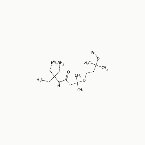 CC(C)OC(C)(C)CCOC(C)(C)CC(=O)NC(CN)(CN)CN